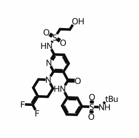 CC(C)(C)NS(=O)(=O)c1cccc(NC(=O)c2ccc(NS(=O)(=O)CCO)nc2N2CCC(=C(F)F)CC2)c1